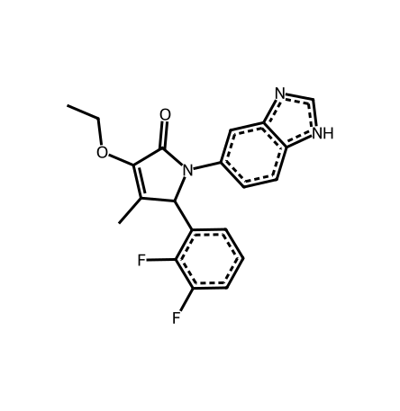 CCOC1=C(C)C(c2cccc(F)c2F)N(c2ccc3[nH]cnc3c2)C1=O